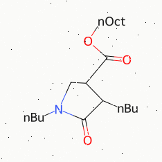 CCCCCCCCOC(=O)C1CN(CCCC)C(=O)C1CCCC